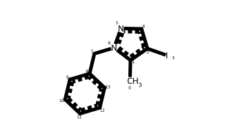 Cc1c(I)cnn1Cc1ccccc1